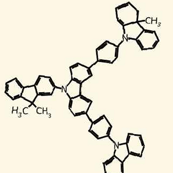 CC12CC=CC=C1N(c1ccc(-c3ccc4c(c3)c3cc(-c5ccc(-n6c7ccccc7c7ccccc76)cc5)ccc3n4-c3ccc4c(c3)C(C)(C)c3ccccc3-4)cc1)c1ccccc12